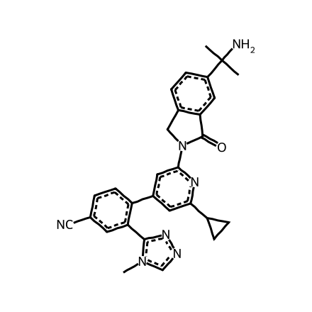 Cn1cnnc1-c1cc(C#N)ccc1-c1cc(C2CC2)nc(N2Cc3ccc(C(C)(C)N)cc3C2=O)c1